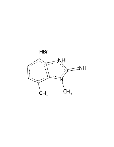 Br.Cc1cccc2[nH]c(=N)n(C)c12